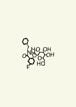 O=C(NCCc1ccccc1)c1cc(F)ccc1O[C@@H]1OC(CO)C(O)C(O)C1O